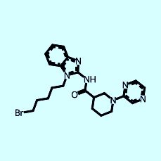 O=C(Nc1nc2ccccc2n1CCCCCBr)C1CCCN(c2cnccn2)C1